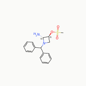 CS(=O)(=O)O[C@H]1CN(C(c2ccccc2)c2ccccc2)[C@@H]1N